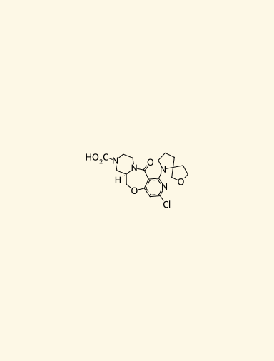 O=C(O)N1CCN2C(=O)c3c(cc(Cl)nc3N3CCCC34CCOC4)OC[C@H]2C1